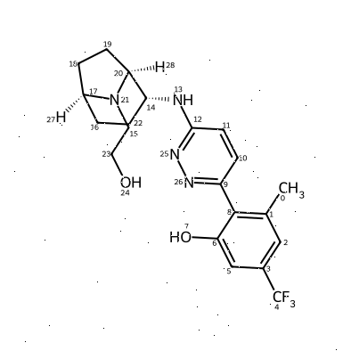 Cc1cc(C(F)(F)F)cc(O)c1-c1ccc(N[C@@H]2CC[C@H]3CC[C@@H]2N3CCO)nn1